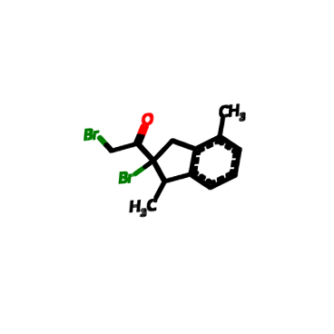 Cc1cccc2c1CC(Br)(C(=O)CBr)C2C